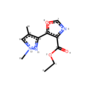 CCOC(=O)c1ncoc1-c1nn(C)cc1C